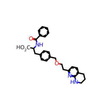 O=C(NC(Cc1ccc(COCCc2ccc3c(n2)NCCC3)cc1)C(=O)O)c1ccccc1